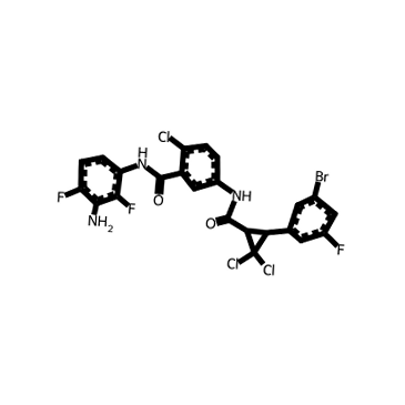 Nc1c(F)ccc(NC(=O)c2cc(NC(=O)C3C(c4cc(F)cc(Br)c4)C3(Cl)Cl)ccc2Cl)c1F